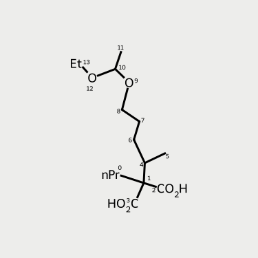 CCCC(C(=O)O)(C(=O)O)C(C)CCCOC(C)OCC